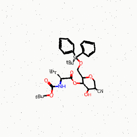 CC(C)[C@H](NC(=O)OC(C)(C)C)C(=O)OC1C(CO[Si](c2ccccc2)(c2ccccc2)C(C)(C)C)OCC(C#N)C1O